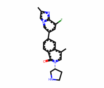 Cc1cn2cc(-c3ccc4c(=O)n([C@@H]5CCNC5)cc(C)c4c3)cc(F)c2n1